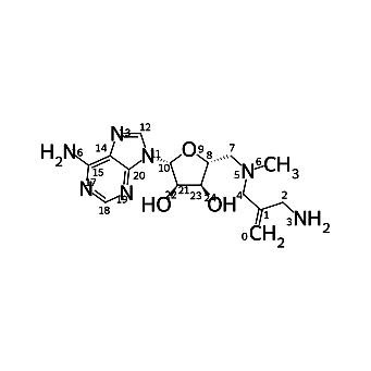 C=C(CN)CN(C)C[C@H]1O[C@@H](n2cnc3c(N)ncnc32)[C@H](O)[C@@H]1O